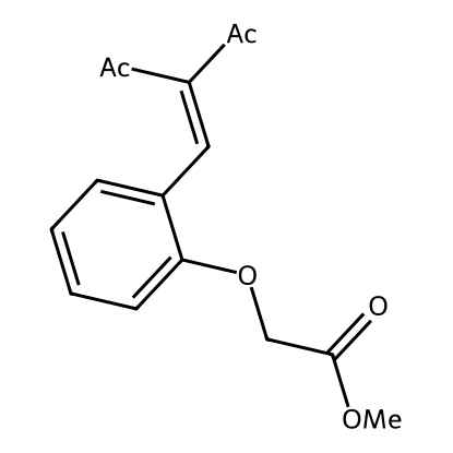 COC(=O)COc1ccccc1C=C(C(C)=O)C(C)=O